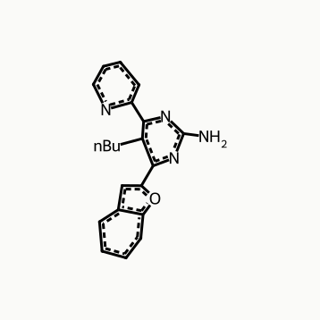 CCCCc1c(-c2ccccn2)nc(N)nc1-c1cc2ccccc2o1